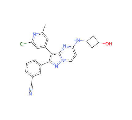 Cc1cc(-c2c(-c3cccc(C#N)c3)nn3ccc(NC4CC(O)C4)nc23)cc(Cl)n1